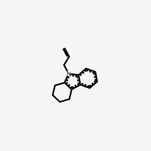 C=CCn1c2c(c3ccccc31)CCCC2